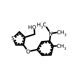 Cc1ccc(Oc2cscc2CO)cc1N(C)C